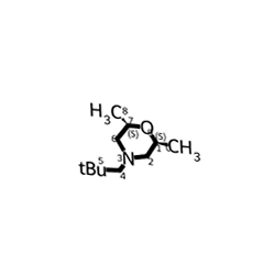 C[C@H]1CN(CC(C)(C)C)C[C@H](C)O1